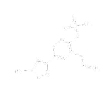 C=CCc1cc(-c2noc(C)n2)ccc1OS(=O)(=O)C(F)(F)F